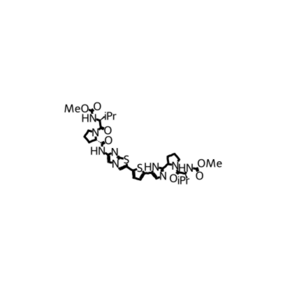 COC(=O)N[C@H](C(=O)N1CCCC1c1ncc(-c2ccc(-c3cn4cc(NC(=O)[C@@H]5CCCN5C(=O)[C@@H](NC(=O)OC)C(C)C)nc4s3)s2)[nH]1)C(C)C